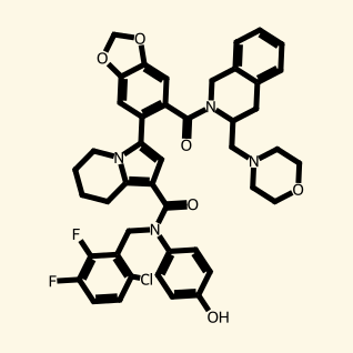 O=C(c1cc(-c2cc3c(cc2C(=O)N2Cc4ccccc4CC2CN2CCOCC2)OCO3)n2c1CCCC2)N(Cc1c(Cl)ccc(F)c1F)c1ccc(O)cc1